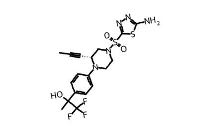 CC#C[C@@H]1CN(S(=O)(=O)c2nnc(N)s2)CCN1c1ccc(C(C)(O)C(F)(F)F)cc1